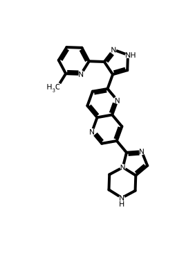 Cc1cccc(-c2n[nH]cc2-c2ccc3ncc(-c4ncc5n4CCNC5)cc3n2)n1